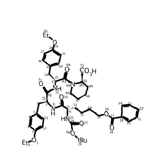 CCOc1ccc(C[C@H](NC(=O)[C@H](CCCCOC(=O)c2ccccc2)NC(=O)OC(C)(C)C)C(=O)N[C@@H](Cc2ccc(OCC)cc2)C(=O)N2CCCC[C@@H]2C(=O)O)cc1